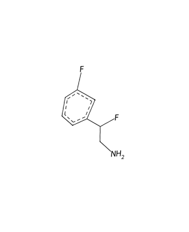 NCC(F)c1cccc(F)c1